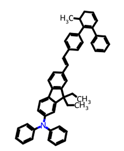 CCC1(CC)c2cc(/C=C/c3ccc(C4=C(c5ccccc5)C=CCC4C)cc3)ccc2-c2ccc(N(c3ccccc3)c3ccccc3)cc21